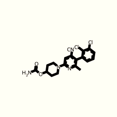 Cc1nc(N2CCC(OC(N)=O)CC2)cc(C#N)c1-c1cccc(Cl)c1Cl